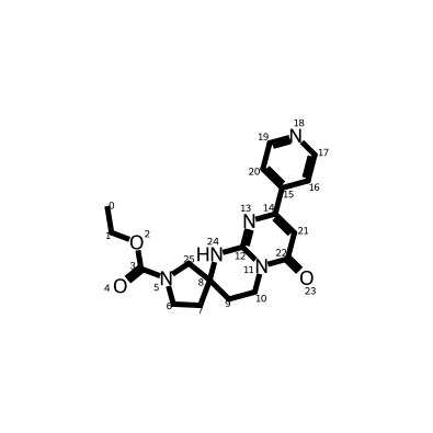 CCOC(=O)N1CCC2(CCn3c(nc(-c4ccncc4)cc3=O)N2)C1